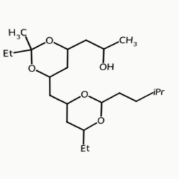 CCC1CC(CC2CC(CC(C)O)OC(C)(CC)O2)OC(CCC(C)C)O1